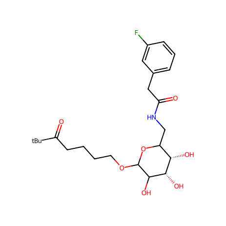 CC(C)(C)C(=O)CCCCOC1OC(CNC(=O)Cc2cccc(F)c2)[C@H](O)[C@H](O)C1O